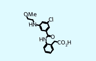 COCCNc1cc(Cl)cc(C(=O)Nc2ccccc2CC(=O)O)c1